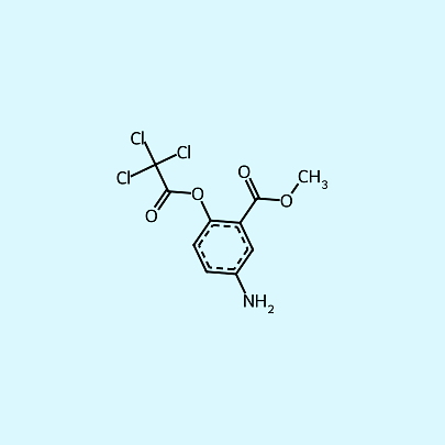 COC(=O)c1cc(N)ccc1OC(=O)C(Cl)(Cl)Cl